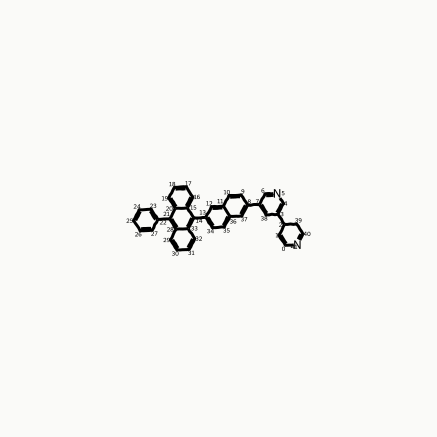 C1=CC(c2cncc(-c3ccc4cc(-c5c6ccccc6c(-c6ccccc6)c6ccccc56)ccc4c3)c2)CC=N1